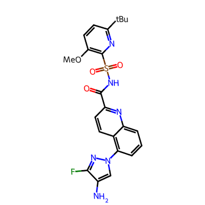 COc1ccc(C(C)(C)C)nc1S(=O)(=O)NC(=O)c1ccc2c(-n3cc(N)c(F)n3)cccc2n1